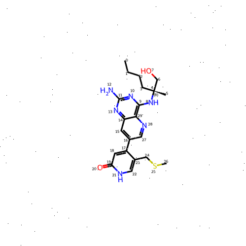 CCCC[C@](C)(CO)Nc1nc(N)nc2cc(-c3cc(=O)[nH]cc3CSC)cnc12